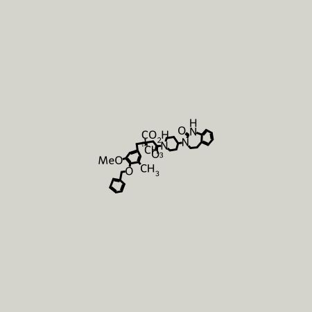 COc1cc(C[C@@](C)(CC(=O)N2CCC(N3CCc4ccccc4NC3=O)CC2)C(=O)O)cc(C)c1OCc1ccccc1